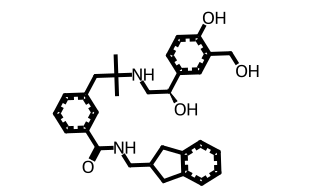 CC(C)(Cc1cccc(C(=O)NCC2Cc3ccccc3C2)c1)NC[C@H](O)c1ccc(O)c(CO)c1